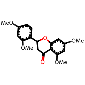 COc1ccc(C2CC(=O)c3c(OC)cc(OC)cc3O2)c(OC)c1